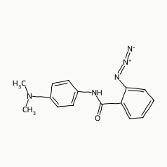 CN(C)c1ccc(NC(=O)c2ccccc2N=[N+]=[N-])cc1